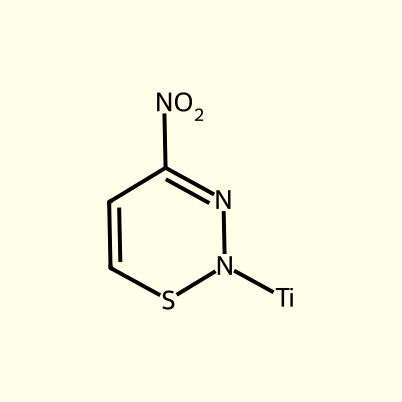 O=[N+]([O-])C1=N[N]([Ti])SC=C1